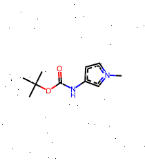 Cn1[c]cc(NC(=O)OC(C)(C)C)c1